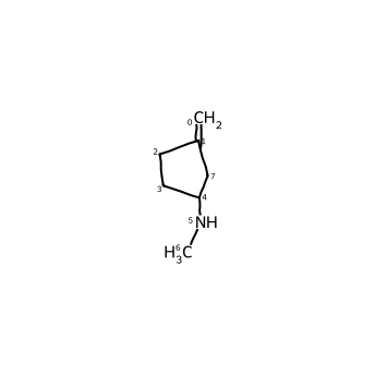 C=C1CCC(NC)C1